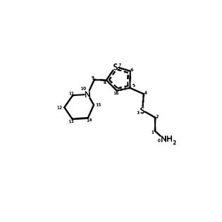 NCCSCc1csc(CN2CCCCC2)c1